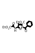 CCOC(=O)C(=O)Nc1nn(C(=O)c2ccccc2)cc1C(=O)OCC